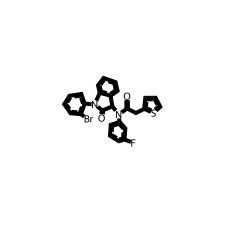 O=C1C(N(C(=O)Cc2cccs2)c2cccc(F)c2)c2ccccc2N1c1ccccc1Br